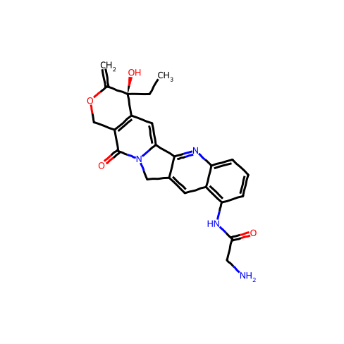 C=C1OCc2c(cc3n(c2=O)Cc2cc4c(NC(=O)CN)cccc4nc2-3)[C@@]1(O)CC